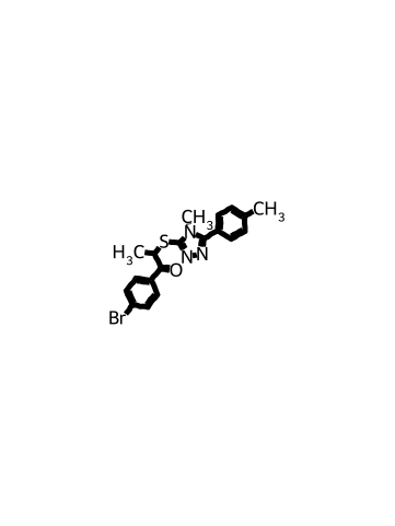 Cc1ccc(-c2nnc(SC(C)C(=O)c3ccc(Br)cc3)n2C)cc1